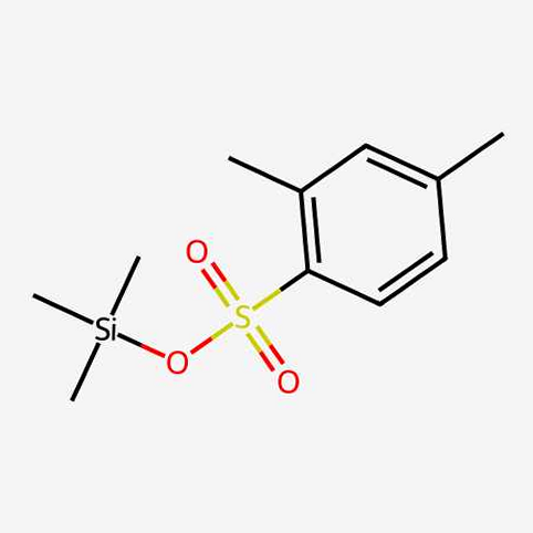 Cc1ccc(S(=O)(=O)O[Si](C)(C)C)c(C)c1